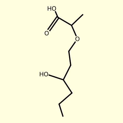 CCCC(O)CCOC(C)C(=O)O